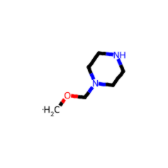 [CH2]OCN1CCNCC1